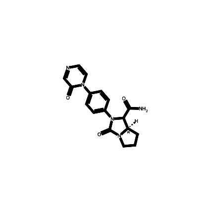 NC(=O)C1[C@H]2[CH]CCN2C(=O)N1c1ccc(-n2ccncc2=O)cc1